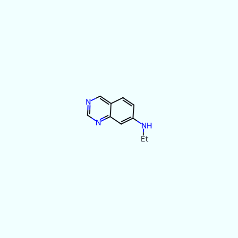 CCNc1ccc2cncnc2c1